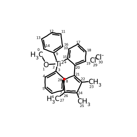 C[O][Ti+2]([c]1ccccc1)([c]1ccccc1)[c]1ccccc1C1=C(C)C(C)=C(C)C1.[Cl-].[Cl-]